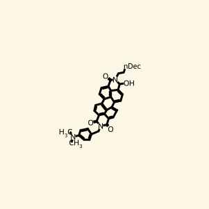 CCCCCCCCCCCCN1C(=O)c2ccc3c4ccc5c6c(ccc(c7ccc(c2c37)C1O)c64)C(=O)N(Cc1ccc(N(C)C)cc1)C5=O